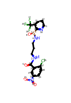 O=C(NCCCN[S+]([O-])c1ncccc1C(F)(F)F)c1cc([N+](=O)[O-])ccc1Cl